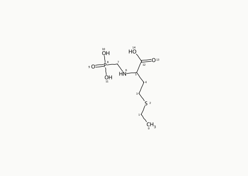 CCSCCC(NCP(=O)(O)O)C(=O)O